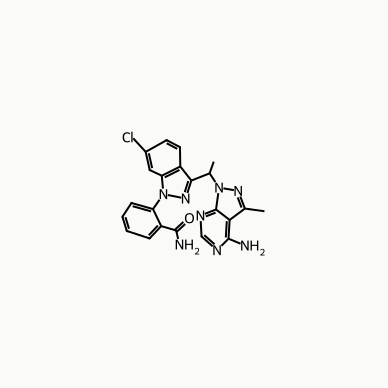 Cc1nn(C(C)c2nn(-c3ccccc3C(N)=O)c3cc(Cl)ccc23)c2ncnc(N)c12